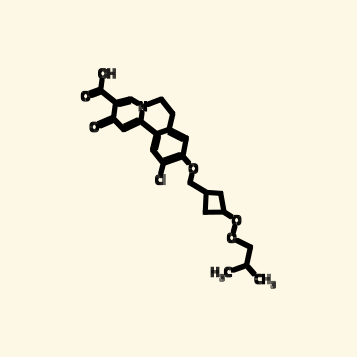 CC(C)COOC1CC(COc2cc3c(cc2Cl)-c2cc(=O)c(C(=O)O)cn2CC3)C1